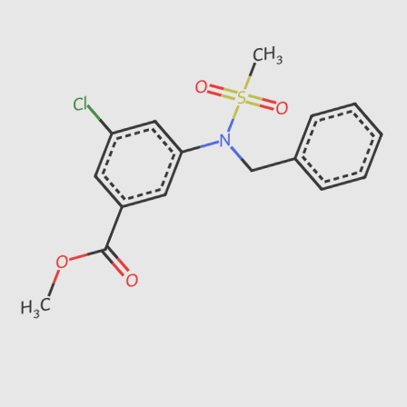 COC(=O)c1cc(Cl)cc(N(Cc2ccccc2)S(C)(=O)=O)c1